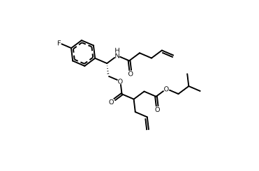 C=CCCC(=O)N[C@H](COC(=O)C(CC=C)CC(=O)OCC(C)C)c1ccc(F)cc1